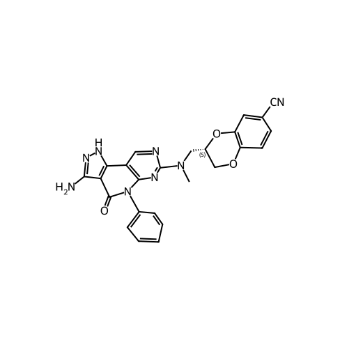 CN(C[C@H]1COc2ccc(C#N)cc2O1)c1ncc2c3[nH]nc(N)c3c(=O)n(-c3ccccc3)c2n1